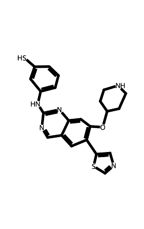 Sc1cccc(Nc2ncc3cc(-c4cncs4)c(OC4CCNCC4)cc3n2)c1